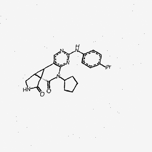 CC(C)c1ccc(Nc2ncc3c(n2)N(C2CCCC2)C(=O)[C@]24C(=O)NCC2C34)cc1